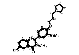 COc1cc(-c2nc3ccc(Br)cc3c(=O)n2C)ccc1OCCCN1CCCC1